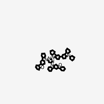 c1ccc(-n2c3ccccc3c3cc(-c4ccc5c(c4)c4ccccc4n5-c4nc(-n5c6ccccc6c6cc7c(cc65)oc5ccccc57)cc(-n5c6ccccc6c6cc7c(cc65)oc5ccccc57)n4)ccc32)cc1